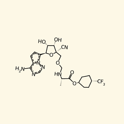 C[C@H](NCOC[C@@]1(C#N)O[C@@H](c2ccc3c(N)ncnn23)[C@H](O)[C@@H]1O)C(=O)O[C@H]1CC[C@@H](C(F)(F)F)CC1